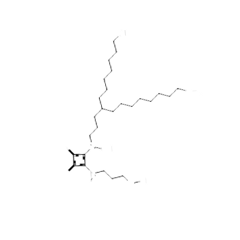 CCCCCCCCCC(CCCCCCCC)CCCN(C)c1c(N(C)CCCSC)c(=S)c1=S